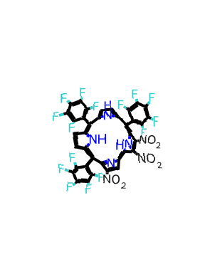 O=[N+]([O-])C1=Cc2nc1c(-c1c(F)c(F)c(F)c(F)c1F)c1ccc([nH]1)c(-c1c(F)c(F)c(F)c(F)c1F)c1ccc([nH]1)c(-c1c(F)c(F)c(F)c(F)c1F)c1[nH]c2c([N+](=O)[O-])c1[N+](=O)[O-]